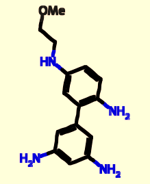 COCCNc1ccc(N)c(-c2cc(N)cc(N)c2)c1